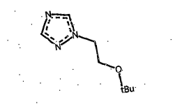 CC(C)(C)OCCn1cncn1